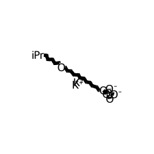 CC(C)CCCCCOCCCCCCCCCCCCOOP(=O)([O-])[O-].[K+].[K+]